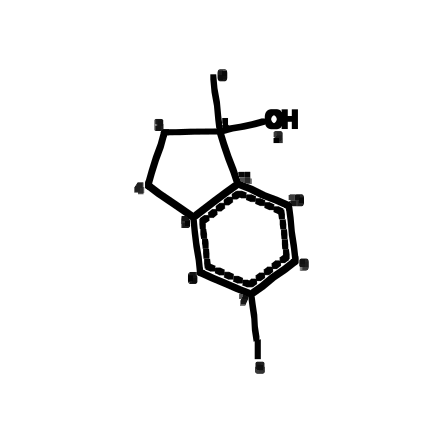 CC1(O)CCc2cc(I)ccc21